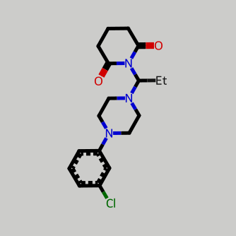 CCC(N1CCN(c2cccc(Cl)c2)CC1)N1C(=O)CCCC1=O